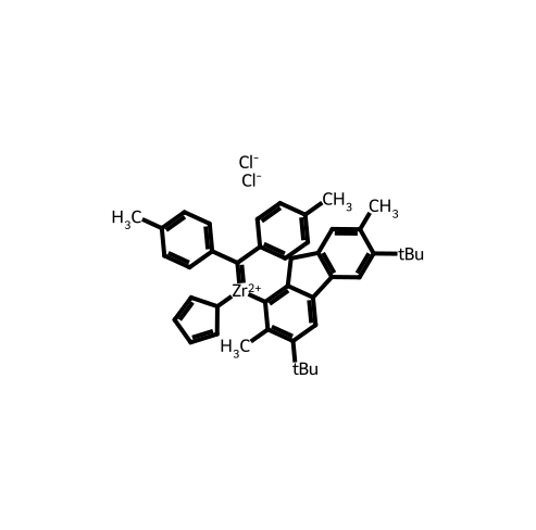 Cc1ccc([C](c2ccc(C)cc2)=[Zr+2]([c]2c(C)c(C(C)(C)C)cc3c2Cc2cc(C)c(C(C)(C)C)cc2-3)[CH]2C=CC=C2)cc1.[Cl-].[Cl-]